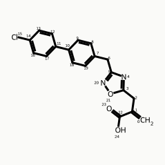 C=C(Cc1nc(Cc2ccc(-c3ccc(Cl)cc3)cc2)no1)C(=O)O